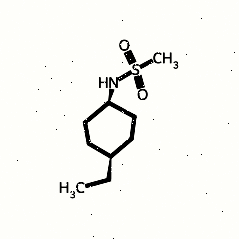 CC[C@H]1CC[C@@H](NS(C)(=O)=O)CC1